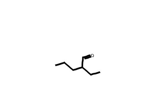 C[CH]CC(C=O)CC